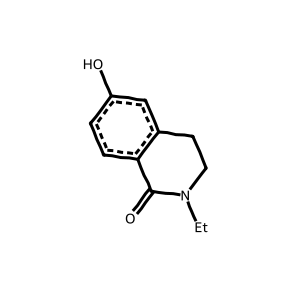 CCN1CCc2cc(O)ccc2C1=O